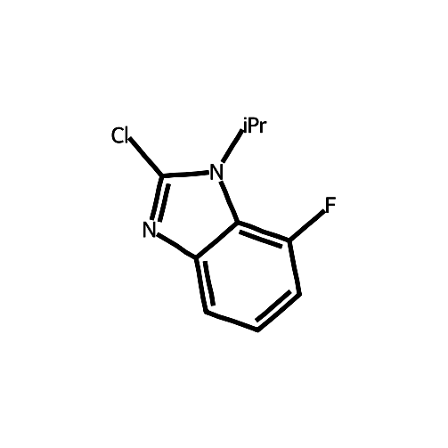 CC(C)n1c(Cl)nc2cccc(F)c21